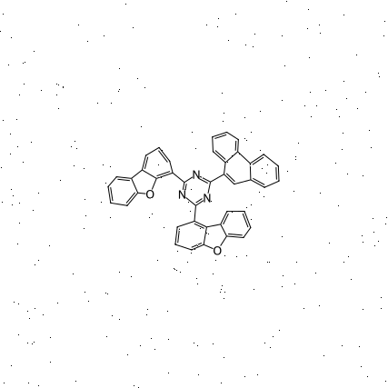 c1ccc2c(c1)cc(-c1nc(-c3cccc4c3oc3ccccc34)nc(-c3cccc4oc5ccccc5c34)n1)c1ccccc12